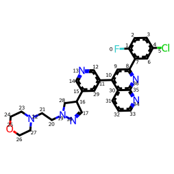 Fc1ccc(Cl)cc1-c1cc(-c2cncc(C3C=NN(CCN4CCOCC4)C3)c2)c2cccnc2n1